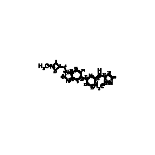 CN1CC(Cn2nnc3cc(-c4ccnc(Nc5ccnn5C)n4)ccc32)C1